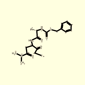 CC(C)[C@H](NC(=O)OCc1ccccc1)C(=O)NC(CC(=O)N(C)C)C(=O)CF